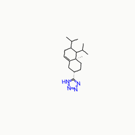 CC(C)C1CC=C2C[C@@H](c3nnn[nH]3)CC[C@]2(C)C1C(C)C